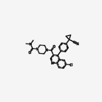 CN(C)C(=O)N1CCN(C(=O)c2cnc3ccc(Cl)cc3c2-c2ccc(C3(C#N)CC3)cc2)CC1